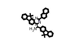 CC1(C)c2ccccc2-c2ccc(C(N)[C@H](/N=C(\N)c3ccc4ccccc4c3)c3ccc4c(c3)C(C)(C)c3ccccc3-4)cc21